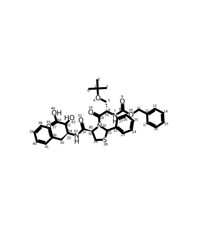 CC(C)(C)OC[C@H](NC(=O)OCc1ccccc1)C(=O)N1C(c2ccccc2)SC[C@H]1C(=O)N[C@@H](Cc1ccccc1)C(O)C(=O)O